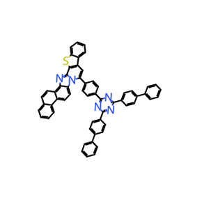 c1ccc(-c2ccc(-c3nc(-c4ccc(-c5ccccc5)cc4)nc(-c4ccc(-c5cc6c7ccccc7sc6c6nc7c8ccc9ccccc9c8ccc7n56)cc4)n3)cc2)cc1